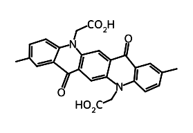 Cc1ccc2c(c1)c(=O)c1cc3c(cc1n2CC(=O)O)c(=O)c1cc(C)ccc1n3CC(=O)O